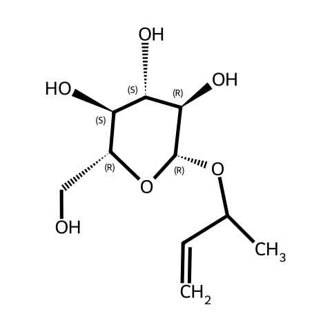 C=CC(C)O[C@@H]1O[C@H](CO)[C@@H](O)[C@H](O)[C@H]1O